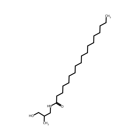 CCCCCCCCCCCCCCCCCC(=O)NCC(C)CO